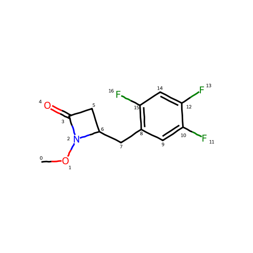 CON1C(=O)CC1Cc1cc(F)c(F)cc1F